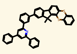 CC1(C)c2cc(-c3cccc(-c4cc(-c5ccccc5)cc(-c5ccccc5)n4)c3)ccc2-c2ccc3c(c21)Sc1ccccc1S3